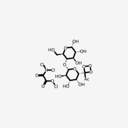 CC(=O)C1([C@H]2O[C@@H](O[C@H]3[C@H](O)[C@@H](O)[C@@H](O)O[C@@H]3CO)[C@H](O)[C@@H](O)[C@H]2O)OOO1.O=C(OCl)C(=O)N(Cl)Cl